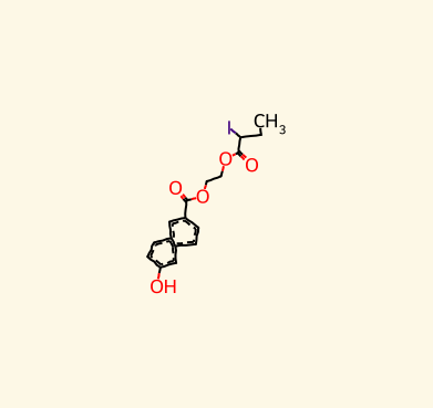 CCC(I)C(=O)OCCOC(=O)c1ccc2cc(O)ccc2c1